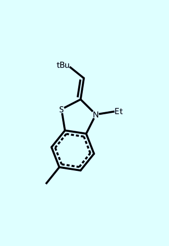 CCN1/C(=C/C(C)(C)C)Sc2cc(C)ccc21